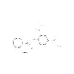 COC(=O)c1ccc(CN2c3ccccc3C=CC2(C)C)c(OC(C)C)c1